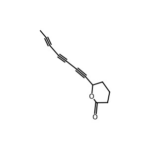 CC#CC#CC#CC1CCCC(=O)O1